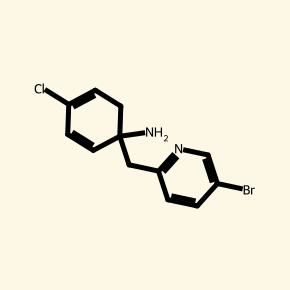 NC1(Cc2ccc(Br)cn2)C=CC(Cl)=CC1